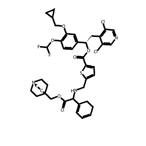 O=C(O[C@@H](Cc1c(Cl)cncc1Cl)c1ccc(OC(F)F)c(OCC2CC2)c1)c1ccc(CNC(C(=O)OCC23CCN(CC2)CC3)C2=CC=CCC2)s1